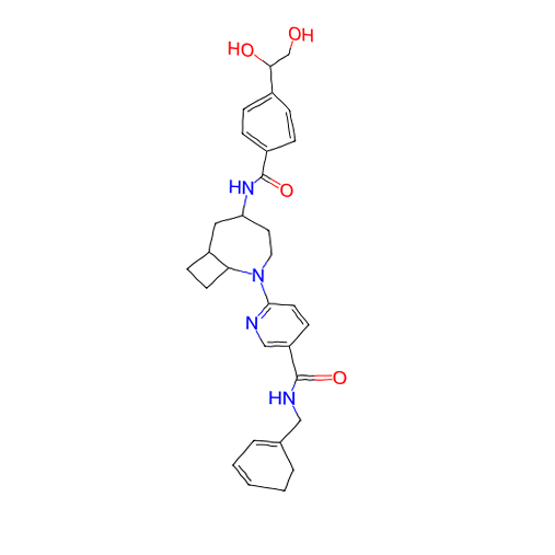 O=C(NCC1=CC=CCC1)c1ccc(N2CCC(NC(=O)c3ccc(C(O)CO)cc3)CC3CCC32)nc1